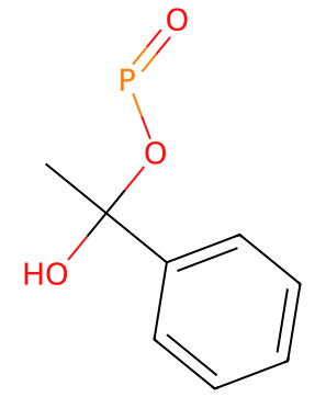 CC(O)(OP=O)c1ccccc1